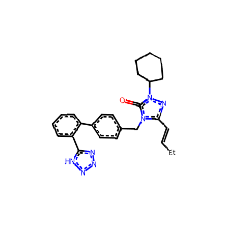 CCC=Cc1nn(C2CCCCC2)c(=O)n1Cc1ccc(-c2ccccc2-c2nnn[nH]2)cc1